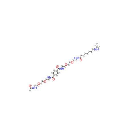 CCC(C)NCCCCCCCC(=O)NCCOCCOCCNC(=O)c1ccc(C(=O)NCCOCCOCCNC(C)=O)cc1